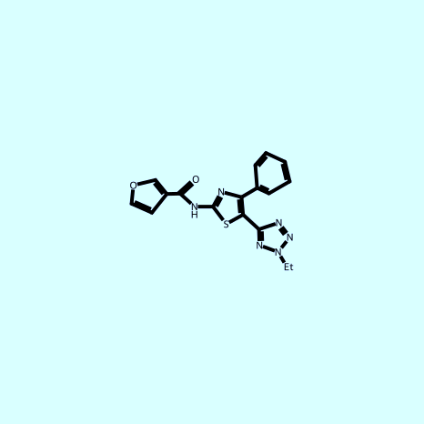 CCn1nnc(-c2sc(NC(=O)c3ccoc3)nc2-c2ccccc2)n1